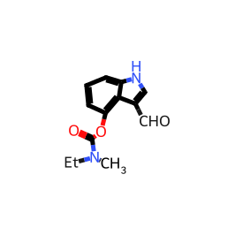 CCN(C)C(=O)Oc1cccc2[nH]cc(C=O)c12